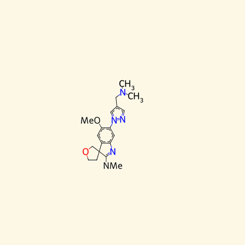 CNC1=Nc2cc(-n3cc(CN(C)C)cn3)c(OC)cc2C12CCOC2